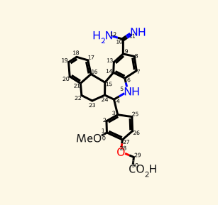 COc1cc(C2Nc3ccc(C(=N)N)cc3C3c4ccccc4CCC23)ccc1OCC(=O)O